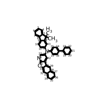 CC1(C)c2ccccc2-c2ccc(N(c3ccc(-c4ccccc4)cc3)c3cnc4oc5cc6ccccc6cc5c4c3)cc21